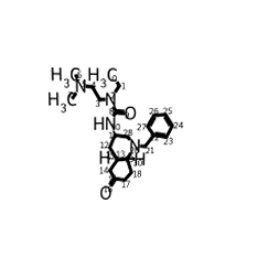 CCN(CCN(C)C)C(=O)N[C@H]1C[C@@H]2CC(=O)CC[C@H]2N(Cc2ccccc2)C1